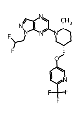 C[C@@H]1CC[C@H](COc2ccc(C(F)(F)F)nc2)CN1c1cnc2cnn(CC(F)F)c2n1